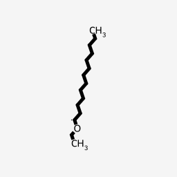 CCCCCCCCCCCC[CH]OCC